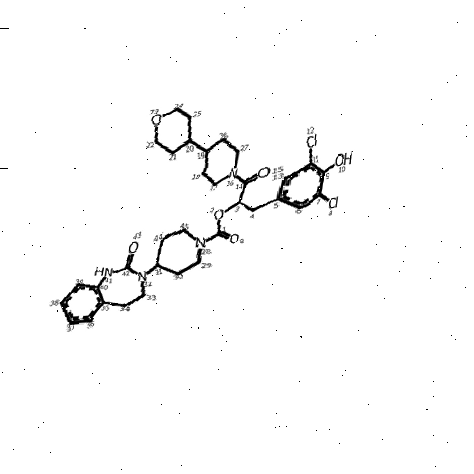 O=C(O[C@H](Cc1cc(Cl)c(O)c(Cl)c1)C(=O)N1CCC(C2CCOCC2)CC1)N1CCC(N2CCc3ccccc3NC2=O)CC1